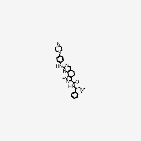 CN(C)C[C@@H](NC(=O)c1nn(C)c2c1CCc1cnc(Nc3ccc(N4CCN(C)CC4)cc3)nc1-2)c1ccccc1